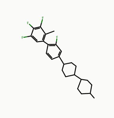 Cc1c(-c2ccc(C3CCC(C4CCC(C)CC4)CC3)cc2F)cc(F)c(F)c1F